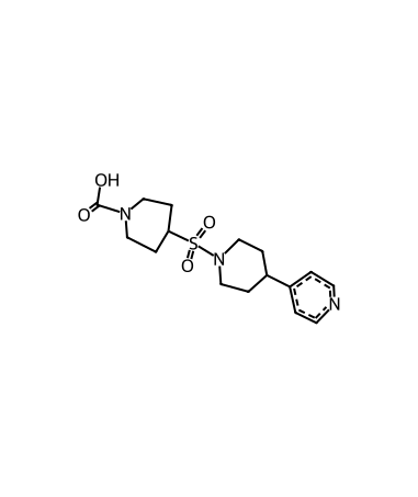 O=C(O)N1CCC(S(=O)(=O)N2CCC(c3ccncc3)CC2)CC1